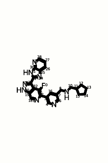 Fc1c(-c2cncc(CNCC3CCCC3)c2)ncc2[nH]nc(-c3nc4cccnc4[nH]3)c12